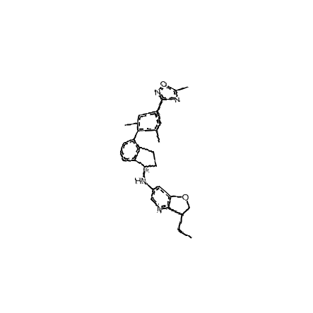 CCC1COc2cc(N[C@@H]3CCc4c(-c5c(C)cc(-c6noc(C)n6)cc5C)cccc43)cnc21